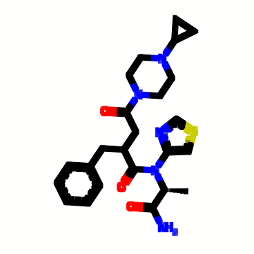 C[C@H](C(N)=O)N(C(=O)C(CC(=O)N1CCN(C2CC2)CC1)Cc1ccccc1)c1cscn1